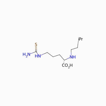 CC(C)CCN[C@@H](CCCNC(N)=S)C(=O)O